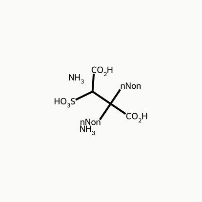 CCCCCCCCCC(CCCCCCCCC)(C(=O)O)C(C(=O)O)S(=O)(=O)O.N.N